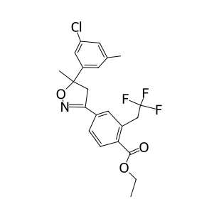 CCOC(=O)c1ccc(C2=NOC(C)(c3cc(C)cc(Cl)c3)C2)cc1CC(F)(F)F